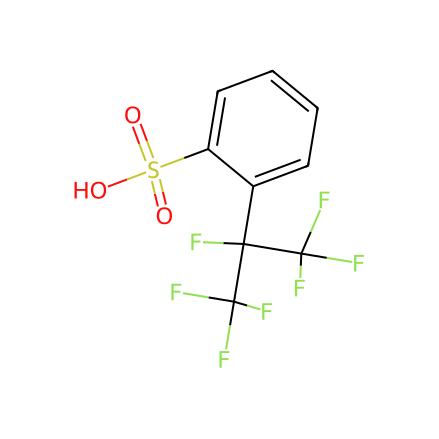 O=S(=O)(O)c1ccccc1C(F)(C(F)(F)F)C(F)(F)F